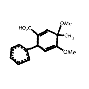 COC1=CC(c2ccccc2)C(C(=O)O)=CC1(C)OC